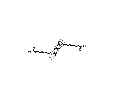 CCC1(OCCCCCCCCC(=O)O)OCC2(CO1)COC(CC)(OCCCCCCCCC(=O)O)OC2